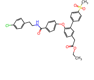 CCOC(=O)Cc1ccc(Oc2ccc(C(=O)NCCc3ccc(Cl)cc3)cc2)c(-c2ccc(S(C)(=O)=O)cc2)c1